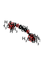 C[SiH]1O[SiH](C)O[Si](C)(CCCOc2ccc(C(C)(C)c3ccc(OCCC[Si]4(C)O[SiH](C)O[SiH](C)O[Si](C)(C)O4)cc3)cc2)O[SiH](C)O1